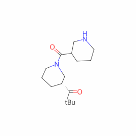 CC(C)(C)C(=O)[C@@H]1CCCN(C(=O)C2CCCNC2)C1